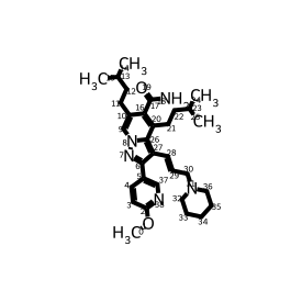 COc1ccc(-c2nn3cc(CCC(C)C)c(C(N)=O)c(CCC(C)C)c3c2C=CCN2CCCCC2)cn1